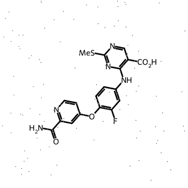 CSc1ncc(C(=O)O)c(Nc2ccc(Oc3ccnc(C(N)=O)c3)c(F)c2)n1